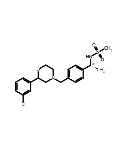 C[C@@H](NS(C)(=O)=O)c1ccc(CN2CCOC(c3cccc(Cl)c3)C2)cc1